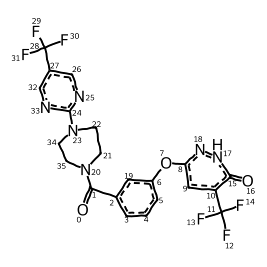 O=C(c1cccc(Oc2cc(C(F)(F)F)c(=O)[nH]n2)c1)N1CCN(c2ncc(C(F)(F)F)cn2)CC1